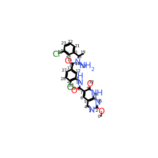 COc1ncc2cc(C(=O)Nc3cc(C(=O)N(N)C(C)c4cccc(Cl)c4)ccc3Cl)c(=O)[nH]c2n1